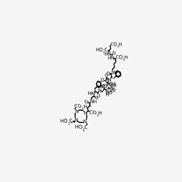 O=C(O)CC[C@H](NC(=O)N[C@@H](CCCCNC(=O)[C@H](Cc1ccccc1)NC(=O)COc1ccc(C[C@H](NC(=O)CNC(=O)CCC(C(=O)O)N2CCN(CC(=O)O)CCN(CC(=O)O)CCN(CC(=O)O)CC2)C(=O)NCC(=O)NC(P(=O)(O)O)P(=O)(O)O)cc1)C(=O)O)C(=O)O